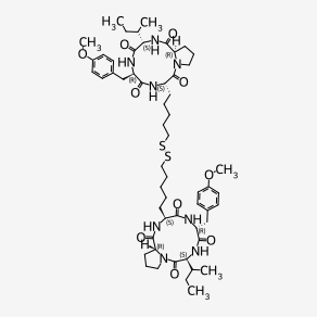 CCC(C)[C@@H]1NC(=O)[C@H]2CCCN2C(=O)[C@H](CCCCCSSCCCCC[C@@H]2NC(=O)[C@H]3CCCN3C(=O)[C@H](C(C)CC)NC(=O)[C@@H](Cc3ccc(OC)cc3)NC2=O)NC(=O)[C@@H](Cc2ccc(OC)cc2)NC1=O